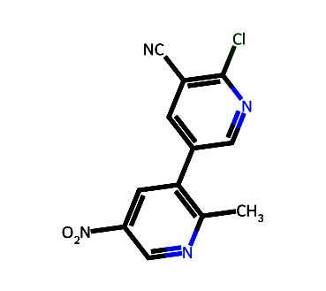 Cc1ncc([N+](=O)[O-])cc1-c1cnc(Cl)c(C#N)c1